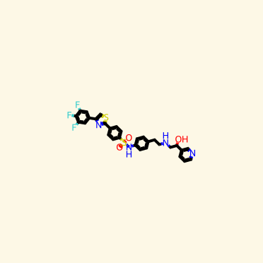 O=S(=O)(Nc1ccc(CCNCC(O)c2cccnc2)cc1)c1ccc(-c2nc(-c3cc(F)c(F)c(F)c3)cs2)cc1